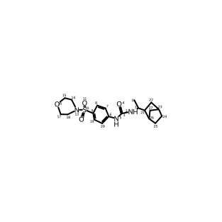 CC(NC(=O)Nc1ccc(S(=O)(=O)N2CCOCC2)cc1)C1CC2CCC1C2